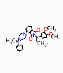 [CH2]C[C@H](c1ccc(OC)c(OC)c1)N1C(=O)c2cccc(N3CCN([C@H](C)c4ccccc4)CC3)c2C1=O